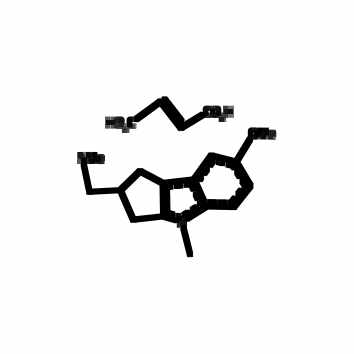 CNCC1Cc2c(n(C)c3ccc(OC)cc23)C1.O=C(O)C=CC(=O)O